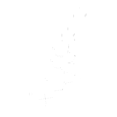 CC(C)(/C=C(\C#N)C(=O)NCC(C)(C)Cn1c(=O)n(-c2ccc(Oc3ccccc3)cc2)c2c(N)ncnc21)CO